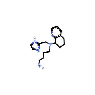 NCCCCN(Cc1ncc[nH]1)C1CCCc2cccnc21